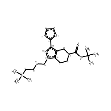 CC(C)(C)OC(=O)N1CCc2c(c(-c3nccs3)nn2COCC[Si](C)(C)C)C1